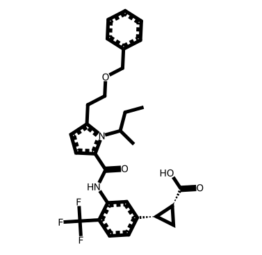 CCC(C)n1c(CCOCc2ccccc2)ccc1C(=O)Nc1cc([C@H]2C[C@H]2C(=O)O)ccc1C(F)(F)F